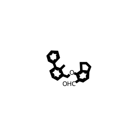 Cc1c(COc2c(C=O)ccc3c2CCC3)cccc1-c1ccccc1